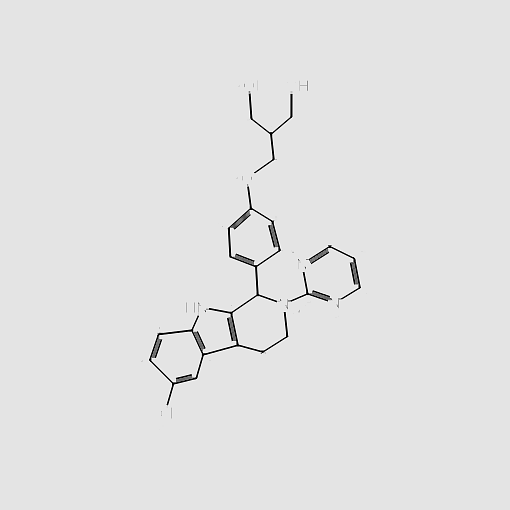 OCC(CO)COc1ccc(C2c3[nH]c4ccc(Cl)cc4c3CCN2c2ncccn2)cc1